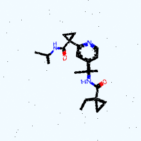 CCC1(C(=O)NC(C)(C)c2ccnc(C3(C(=O)NC(C)C)CC3)c2)CC1